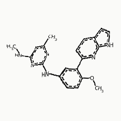 CNc1cc(C)nc(Nc2ccc(OC)c(-c3ccc4cc[nH]c4n3)c2)n1